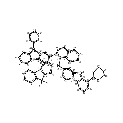 CC1(C)c2ccccc2-c2ccc(N(c3ccc4c(c3)oc3c(C5CCCCC5)cccc34)c3c(-c4ccc5c6ccccc6n(-c6ccccc6)c5c4)ccc4ccccc34)cc21